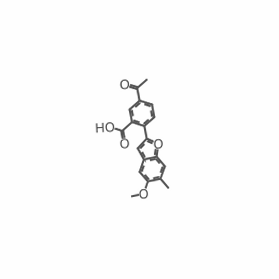 COc1cc2cc(-c3ccc(C(C)=O)cc3C(=O)O)oc2cc1C